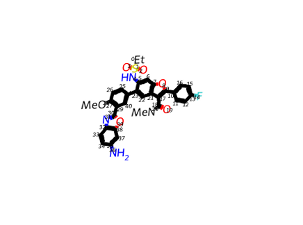 CCS(=O)(=O)Nc1cc2oc(-c3ccc(F)cc3)c(C(=O)NC)c2cc1-c1ccc(OC)c(-c2nc3ccc(N)cc3o2)c1